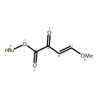 CCCCOC(=O)C(=O)C=COC